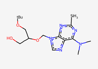 CN(C)c1nc([SiH3])nc2c1ncn2COC(CO)COC(C)(C)C